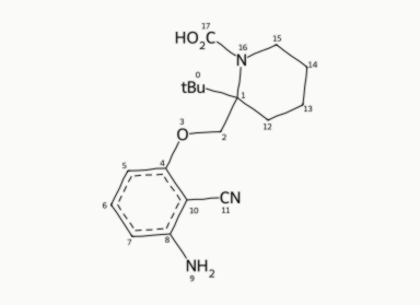 CC(C)(C)C1(COc2cccc(N)c2C#N)CCCCN1C(=O)O